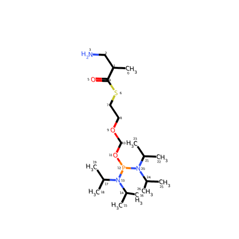 CC(CN)C(=O)SCCOCOP(N(C(C)C)C(C)C)N(C(C)C)C(C)C